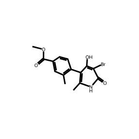 COC(=O)c1ccc(-c2c(C)[nH]c(=O)c(Br)c2O)c(C)c1